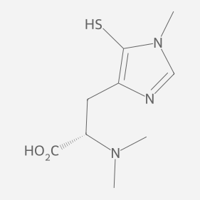 CN(C)[C@@H](Cc1ncn(C)c1S)C(=O)O